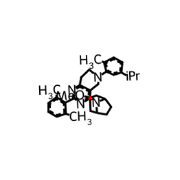 COC1CC2CCC(C1)N2c1nc(-c2c(C)cccc2C)nc2c1CN(c1cc(C(C)C)ccc1C)CC2